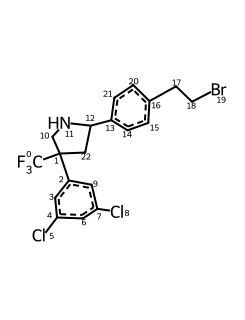 FC(F)(F)C1(c2cc(Cl)cc(Cl)c2)CNC(c2ccc(CCBr)cc2)C1